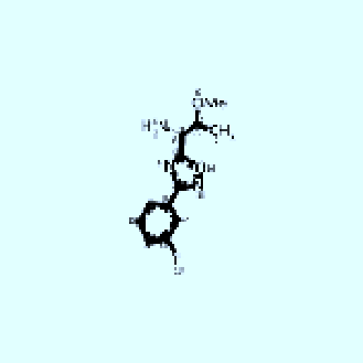 CO[C@@H](C)[C@@H](N)c1nc(-c2cccc(F)c2)no1